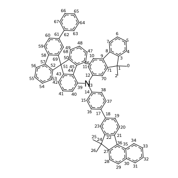 CC1(C)c2ccccc2-c2ccc(N(c3ccc(-c4ccc5c(c4)C(C)(C)c4ccc6ccccc6c4-5)cc3)c3cccc4c3-c3ccccc3C43c4ccccc4-c4ccc(-c5ccccc5)cc43)cc21